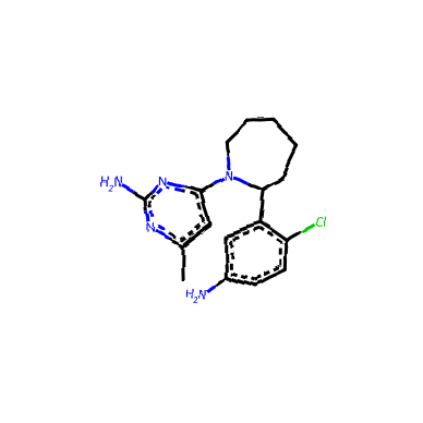 Cc1cc(N2CCCCCC2c2cc(N)ccc2Cl)nc(N)n1